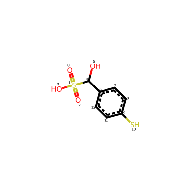 O=S(=O)(O)C(O)c1ccc(S)cc1